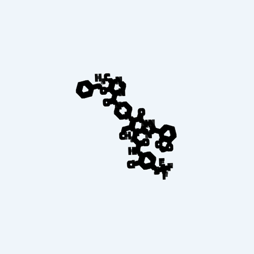 CCc1c(N2CCN(C(=O)c3ncnc(C)c3OCc3ccccc3)CC2)c(=O)n2nc(-c3cccc4c3OCO4)nc2n1CC(=O)Nc1ccc(SC(F)(F)F)cc1Cl